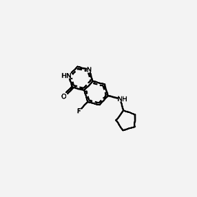 O=c1[nH]cnc2cc(NC3CCCC3)cc(F)c12